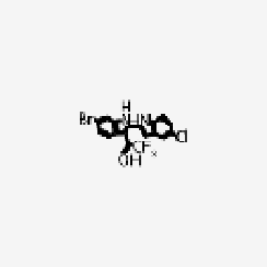 OC=C(c1c(-c2cc3cc(Cl)ccc3[nH]2)[nH]c2cc(Br)ccc12)C(F)(F)F